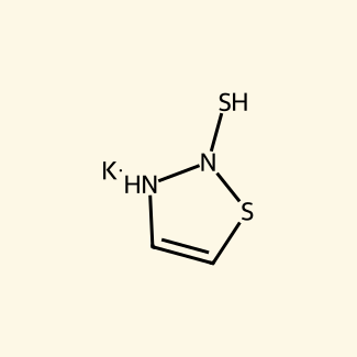 SN1NC=CS1.[K]